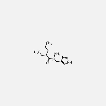 CCCC(CC)C(=O)[C@@H](N)Cc1c[nH]cn1